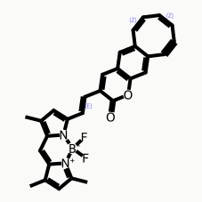 CC1=CC(C)=[N+]2C1=Cc1c(C)cc(/C=C/c3cc4cc5c(cc4oc3=O)C#C/C=C\C=C/5)n1[B-]2(F)F